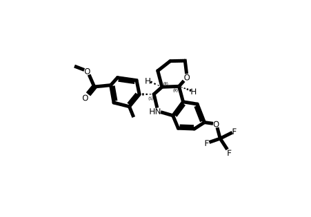 COC(=O)c1ccc([C@H]2Nc3ccc(OC(F)(F)F)cc3[C@@H]3OCCC[C@H]23)c(C)c1